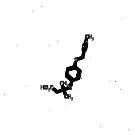 CC#CCOc1ccc(SC(C)(C)CC(=O)O)cc1